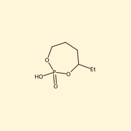 CCC1CCCOP(=O)(O)O1